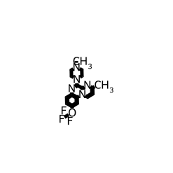 CC1=C=CN2C(=N1)C(N1CCN(C)CC1)=Nc1ccc(OC(F)(F)F)cc12